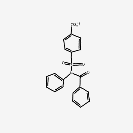 O=C(O)c1ccc(S(=O)(=O)N(C(=O)c2ccccc2)c2ccccc2)cc1